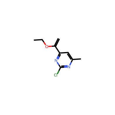 C=C(OCC)c1cc(C)nc(Cl)n1